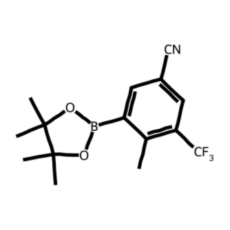 Cc1c(B2OC(C)(C)C(C)(C)O2)cc(C#N)cc1C(F)(F)F